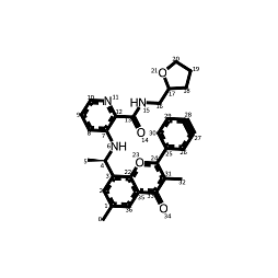 Cc1cc([C@@H](C)Nc2cccnc2C(=O)NCC2CCCO2)c2oc(-c3cc#ccc3)c(C)c(=O)c2c1